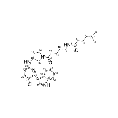 CN(C)C/C=C/C(=O)NCCCCC(=O)N1CCC(Nc2ncc(Cl)c(-c3c[nH]c4ccccc34)n2)C1